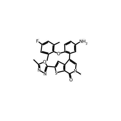 Cc1nnc(-c2cc3c(-c4cc(N)ccc4Oc4c(C)cc(F)cc4C)cn(C)c(=O)c3s2)o1